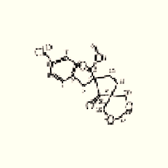 COC(=O)C1(Cc2ccc(Cl)cc2)CCC2(COCOC2)C1=O